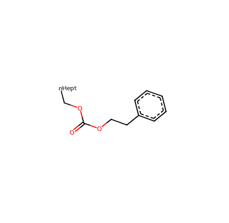 CCCCCCCCOC(=O)OCCc1ccccc1